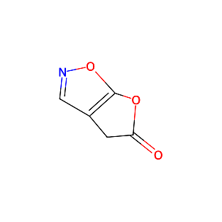 O=C1Cc2cnoc2O1